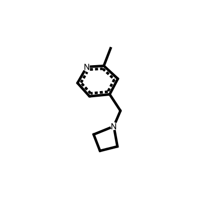 Cc1cc(CN2CCC2)ccn1